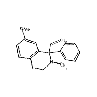 C=CC1(c2ccccc2)c2cc(OC)ccc2CCN1C